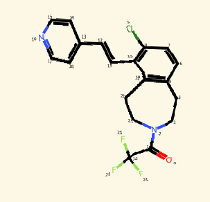 O=C(N1CCc2ccc(Cl)c(C=Cc3ccncc3)c2CC1)C(F)(F)F